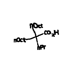 CCCCCCCCC(CCC)(CCCCCCCC)C(=O)O